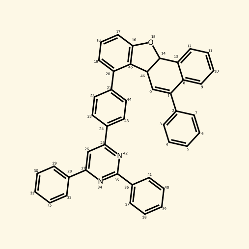 C1=C(c2ccccc2)c2ccccc2C2Oc3cccc(-c4ccc(-c5cc(-c6ccccc6)nc(-c6ccccc6)n5)cc4)c3C12